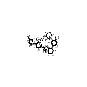 COc1nc(-c2nc3n(n2)CCC[C@H]3c2ccc(Cl)c(N3CCCCC3)c2)ccc1-n1cnc(C)c1